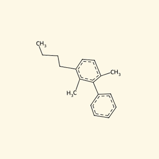 CCCCc1ccc(C)c(-c2ccccc2)c1C